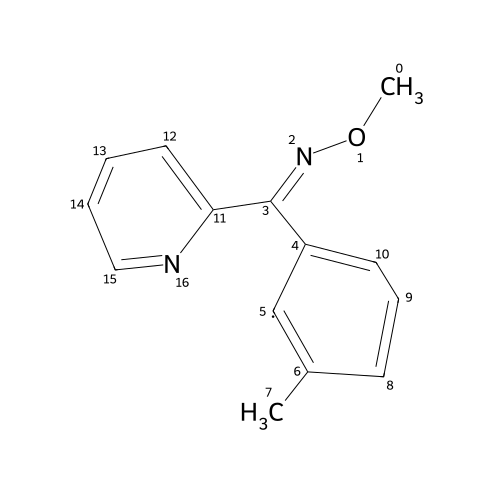 CO/N=C(\c1[c]c(C)ccc1)c1ccccn1